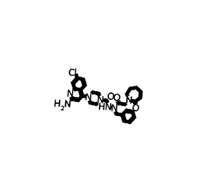 Nc1cc(N2CCN(C(=O)NN(Cc3ccccc3)C(=O)CN3CCCCCC3=O)CC2)c2ccc(Cl)cc2n1